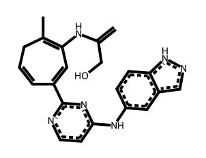 C=C(CO)NC1=C(C)CC=CC(c2nccc(Nc3ccc4[nH]ncc4c3)n2)=C1